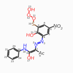 CC(=O)C(/N=N/c1cc([N+](=O)[O-])cc(SOOO)c1O)=C(\O)Nc1ccccc1